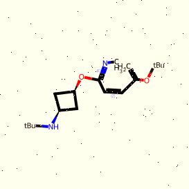 C=C(/C=C\C(=N/C)O[C@H]1C[C@@H](NC(C)(C)C)C1)OC(C)(C)C